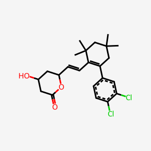 CC1(C)CC(c2ccc(Cl)c(Cl)c2)=C(C=CC2CC(O)CC(=O)O2)C(C)(C)C1